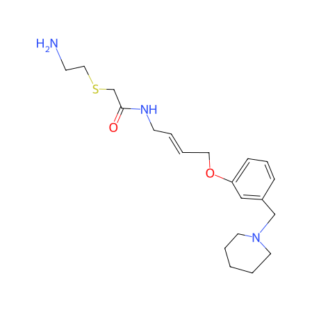 NCCSCC(=O)NCC=CCOc1cccc(CN2CCCCC2)c1